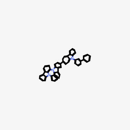 C1=C(c2ccc3c(c2)c2ccccc2n3-c2cccc3c4ccccc4n(-c4ccccc4)c23)CC=c2c(n(-c3cccc(-c4ccccc4)c3)c3ccccc23)=C1